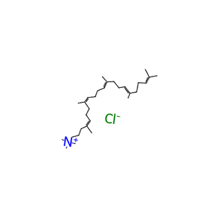 CC(C)=CCCC(C)=CCCC(C)=CCCC=C(C)CCC=C(C)CCC[N+](C)(C)C.[Cl-]